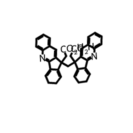 O=C(O)CC1(CC2(CC(=O)O)C3=CCCC=C3c3nc4ccccc4cc32)C2=CCCC=C2c2nc3ccccc3cc21